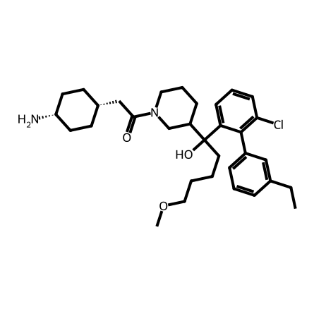 CCc1cccc(-c2c(Cl)cccc2C(O)(CCCCOC)C2CCCN(C(=O)C[C@H]3CC[C@@H](N)CC3)C2)c1